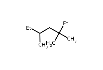 CCC(C)CC(C)(C)CC